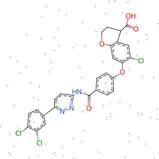 O=C(Nc1ccc(-c2ccc(Cl)c(Cl)c2)nn1)c1ccc(Oc2cc3c(cc2Cl)C(C(=O)O)CCO3)cc1